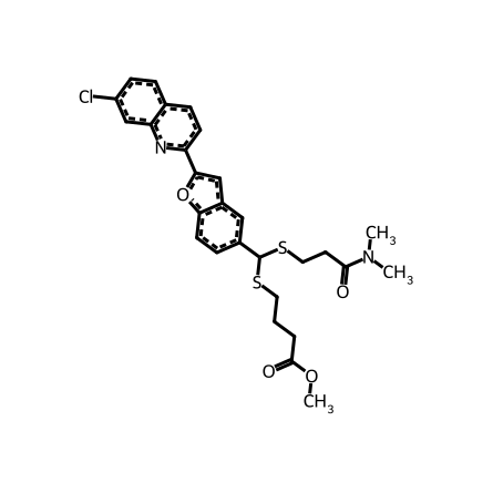 COC(=O)CCCSC(SCCC(=O)N(C)C)c1ccc2oc(-c3ccc4ccc(Cl)cc4n3)cc2c1